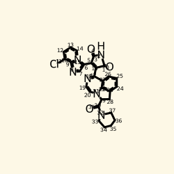 O=C1NC(=O)C(c2cnc3c(Cl)cccn23)=C1C1=NC=CN2c3c(cccc31)CC2C(=O)N1CCCCC1